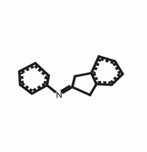 c1ccc(N=C2Cc3ccccc3C2)cc1